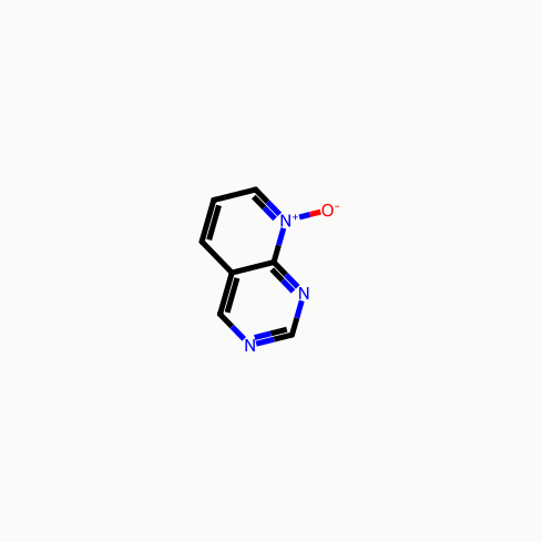 [O-][n+]1cccc2cncnc21